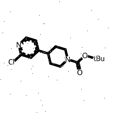 CC(C)(C)OC(=O)N1CCC(c2ccnc(Cl)c2)CC1